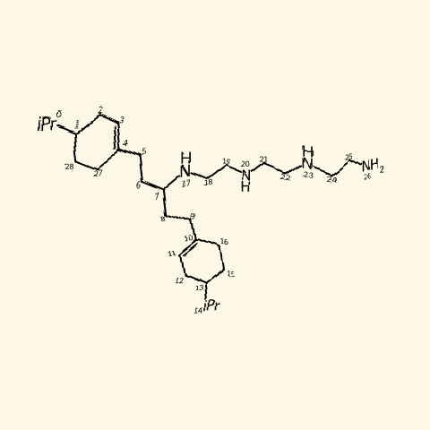 CC(C)C1CC=C(CCC(CCC2=CCC(C(C)C)CC2)NCCNCCNCCN)CC1